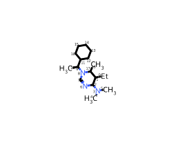 CCC1C(N(C)C)N=CN(C(C)C2CCCCC2)C1C